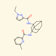 CCn1ccc(C(=O)NC23CC4CC(CC(NC(=O)c5cccc(C)n5)(C4)C2)C3)n1